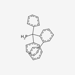 PC(c1ccccc1)(c1ccccc1)c1ccccc1-c1ccccc1